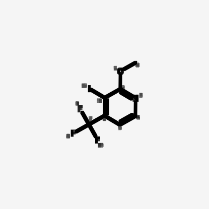 COc1nccc(C(F)(F)F)c1I